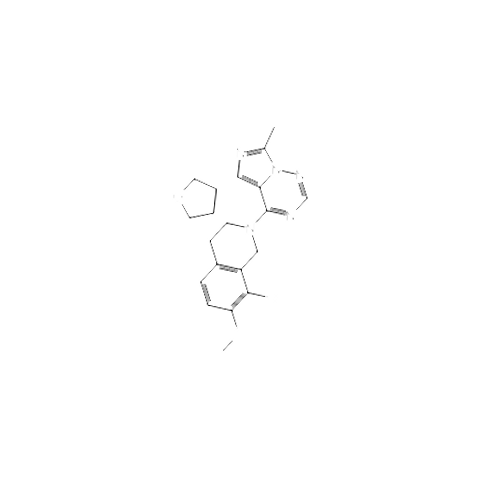 COc1ccc2c(c1O)CN(c1ncnn3c(C)nc([C@@H]4CCOC4)c13)CC2